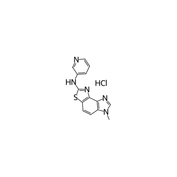 Cl.Cn1cnc2c3nc(Nc4cccnc4)sc3ccc21